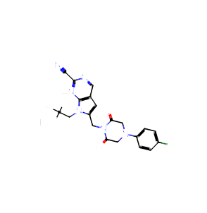 CC(C)(C)Cn1c(CN2C(=O)CN(c3ccc(F)cc3)CC2=O)cc2cnc(C#N)nc21